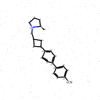 C[C@@H]1CCCN1CC1CC(c2ccc(-c3ccc(C#N)cc3)cc2)C1